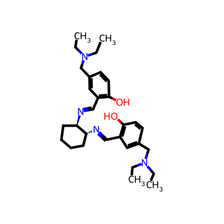 CCN(CC)Cc1ccc(O)c(C=N[C@@H]2CCCC[C@H]2N=Cc2cc(CN(CC)CC)ccc2O)c1